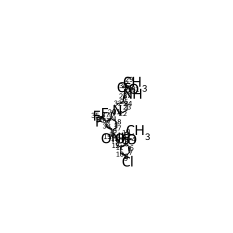 CCS(=O)(=O)c1ccc(Cl)cc1CNC(=O)c1ccc(CN2CCCC(CNS(C)(=O)=O)C2)c(C(F)(F)F)c1